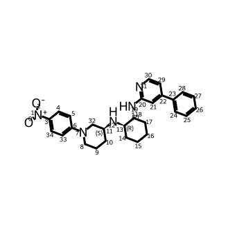 O=[N+]([O-])c1ccc(N2CCC[C@H](N[C@@H]3CCCC[C@H]3Nc3cc(-c4ccccc4)ccn3)C2)cc1